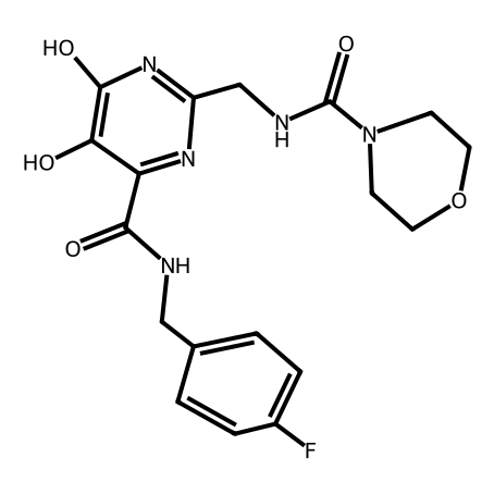 O=C(NCc1ccc(F)cc1)c1nc(CNC(=O)N2CCOCC2)nc(O)c1O